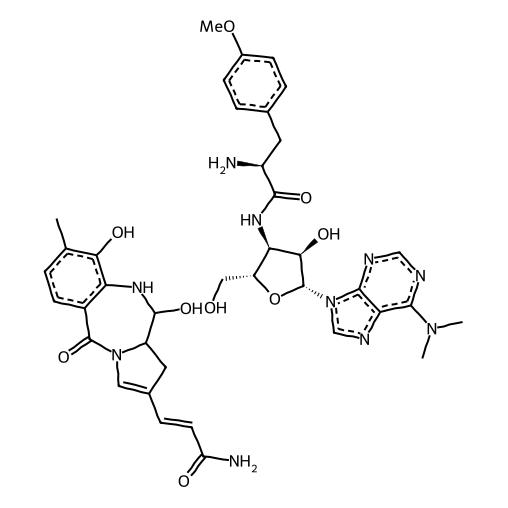 COc1ccc(C[C@H](N)C(=O)N[C@H]2[C@@H](O)[C@H](n3cnc4c(N(C)C)ncnc43)O[C@@H]2CO)cc1.Cc1ccc2c(c1O)NC(O)C1CC(/C=C/C(N)=O)=CN1C2=O